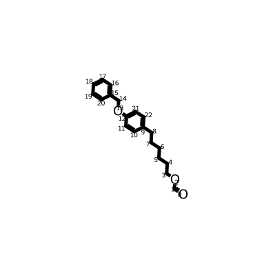 O=COCCCCCCc1ccc(OCc2ccccc2)cc1